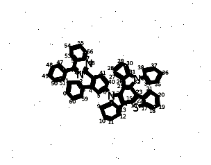 c1ccc(-c2cc(-n3c4ccccc4c4c5sc6ccccc6c5c5c(c6ccccc6n5-c5ccccc5)c43)ccc2-c2nc(-c3ccccc3)c3ccccc3n2)cc1